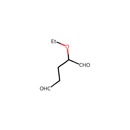 CCOC(C=O)CCC=O